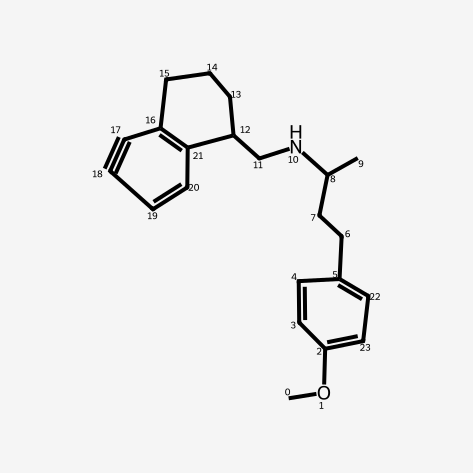 COc1ccc(CCC(C)NCC2CCCc3c#cccc32)cc1